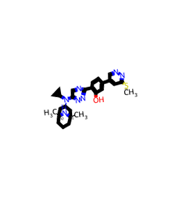 CSc1cc(-c2ccc(-c3ncc(N(C4CC4)[C@H]4C[C@]5(C)CCC[C@](C)(C4)N5)nn3)c(O)c2)cnn1